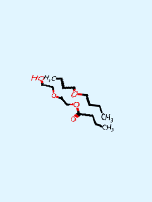 CCCC(=O)OCCOCCO.CCCCOCCCC